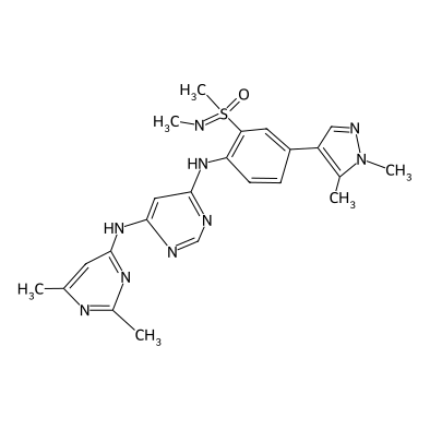 CN=S(C)(=O)c1cc(-c2cnn(C)c2C)ccc1Nc1cc(Nc2cc(C)nc(C)n2)ncn1